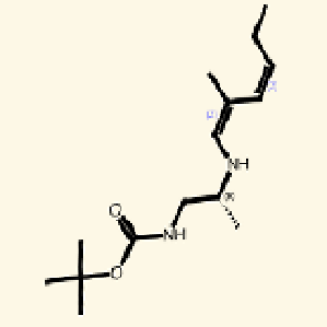 CC/C=C\C(C)=C/N[C@H](C)CNC(=O)OC(C)(C)C